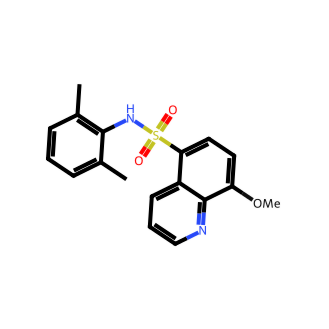 COc1ccc(S(=O)(=O)Nc2c(C)cccc2C)c2cccnc12